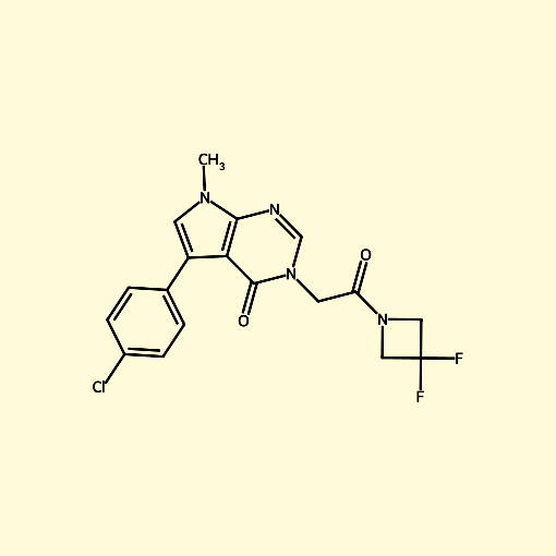 Cn1cc(-c2ccc(Cl)cc2)c2c(=O)n(CC(=O)N3CC(F)(F)C3)cnc21